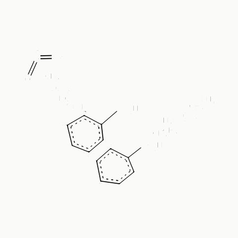 C.C.C.C.C.C.C.C.C.C.O=C(O)c1ccccc1.O=C(O)c1ccccc1.O=S=O